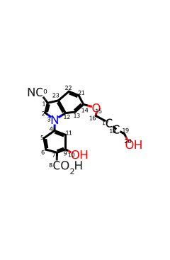 N#Cc1cn(-c2ccc(C(=O)O)c(O)c2)c2cc(OCCCCO)ccc12